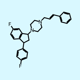 Fc1ccc(C2CC(N3CCN(CC=Cc4ccccc4)CC3)c3cc(F)ccc32)cc1